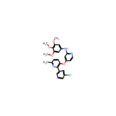 COc1cc(Nc2cc(Oc3ccc(C)nc3-c3cccc(Cl)c3)ccn2)cc(OC)c1OC